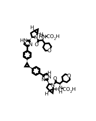 O=C(O)N[C@H](C(=O)N1[C@@H]2C[C@@H]2C[C@H]1c1nc(-c2ccc([C@H]3C[C@@H]3c3ccc(-c4c[nH]c([C@@H]5C[C@H]6C[C@H]6N5C(=O)[C@@H](NC(=O)O)C5CCOCC5)n4)cc3)cc2)c[nH]1)C1CCOCC1